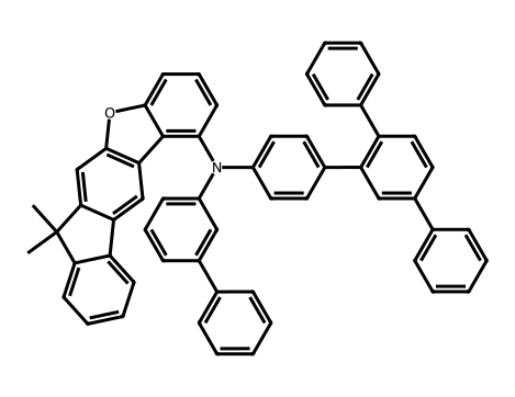 CC1(C)c2ccccc2-c2cc3c(cc21)oc1cccc(N(c2ccc(-c4cc(-c5ccccc5)ccc4-c4ccccc4)cc2)c2cccc(-c4ccccc4)c2)c13